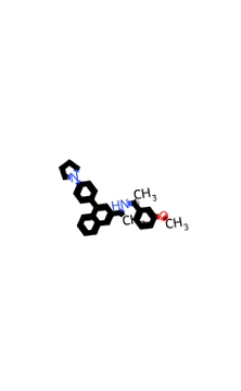 COc1cccc([C@@H](C)NC(C)c2cc(-c3ccc(N4CCCC4)cc3)c3ccccc3c2)c1